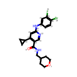 O=C(NCC1CCOCC1)c1cnc(Nc2ccc(Br)c(F)c2)cc1C1CC1